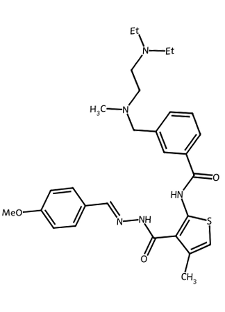 CCN(CC)CCN(C)Cc1cccc(C(=O)Nc2scc(C)c2C(=O)NN=Cc2ccc(OC)cc2)c1